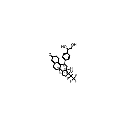 C[C@]12C[C@H](c3ccc(C(O)CO)cc3)C3=C4CCC(=O)C=C4CC[C@H]3[C@@H]1CC[C@@]2(O)C(F)(F)C(F)(F)F